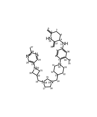 C=C1CCC(Nc2ccc(N3CCC(CN4CCN(CC5CN(c6cnc(C)nc6)C5)C4)CC3)c(F)c2)C(=C)N1